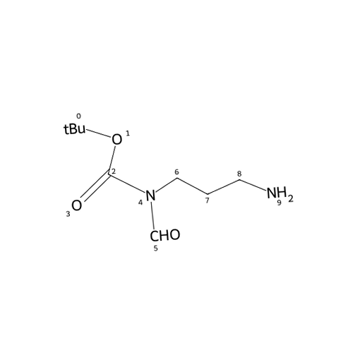 CC(C)(C)OC(=O)N(C=O)CCCN